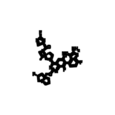 C[C@H]1CN(C(=O)n2cnc(F)n2)[C@]12CCN(c1nc(OC[C@@]34CCCN3C[C@H](F)C4)nc3c(F)c(-c4ccc(F)c5sc(N)c(C#N)c45)c(Cl)cc13)C2